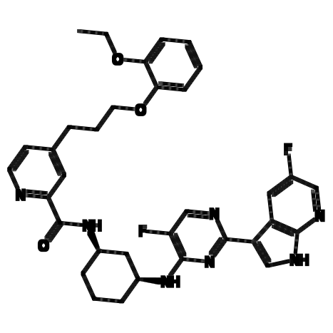 CCOc1ccccc1OCCCc1ccnc(C(=O)N[C@@H]2CCC[C@H](Nc3nc(-c4c[nH]c5ncc(F)cc45)ncc3F)C2)c1